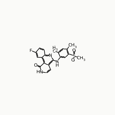 Cc1cc(C)c(S(C)(=O)=O)cc1Nc1nc2ccc(F)cc2c2c(=O)[nH]ccc12